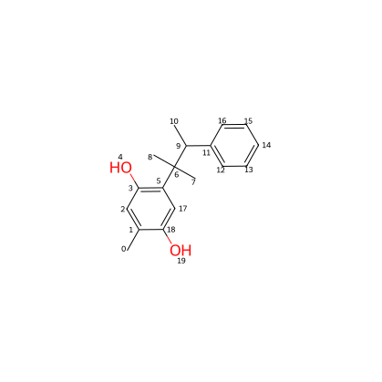 Cc1cc(O)c(C(C)(C)C(C)c2ccccc2)cc1O